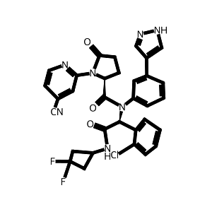 N#Cc1ccnc(N2C(=O)CC[C@H]2C(=O)N(c2cccc(-c3cn[nH]c3)c2)[C@H](C(=O)NC2CC(F)(F)C2)c2ccccc2Cl)c1